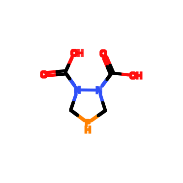 O=C(O)N1CPCN1C(=O)O